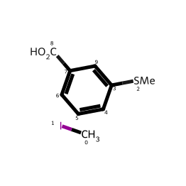 CI.CSc1cccc(C(=O)O)c1